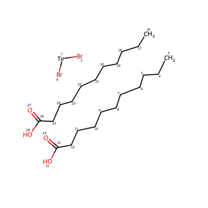 Br[Te]Br.CCCCCCCCCCC(=O)O.CCCCCCCCCCC(=O)O